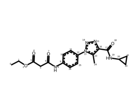 CCOC(=O)CC(=O)Nc1ccc(-n2nnc(C(=O)NC3CC3)c2C)cc1